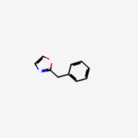 c1ccc(Cc2ncco2)cc1